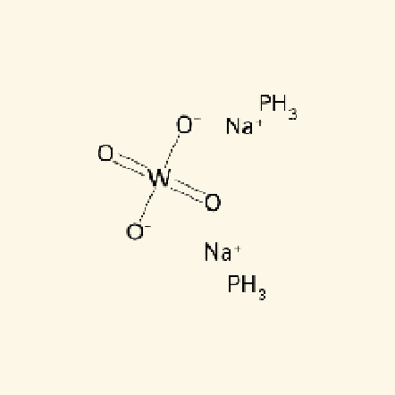 P.P.[Na+].[Na+].[O]=[W](=[O])([O-])[O-]